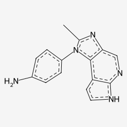 Cc1nc2cnc3[nH]ccc3c2n1-c1ccc(N)cc1